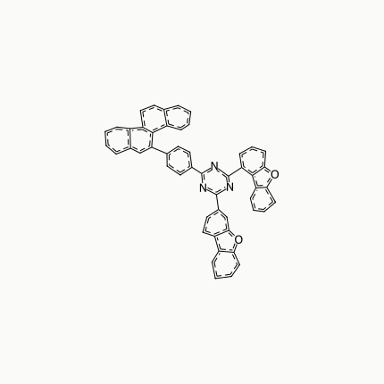 c1ccc2c(c1)cc(-c1ccc(-c3nc(-c4ccc5c(c4)oc4ccccc45)nc(-c4cccc5oc6ccccc6c45)n3)cc1)c1c3ccccc3ccc21